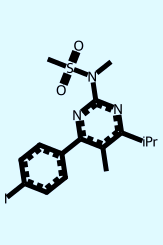 Cc1c(-c2ccc(I)cc2)nc(N(C)S(C)(=O)=O)nc1C(C)C